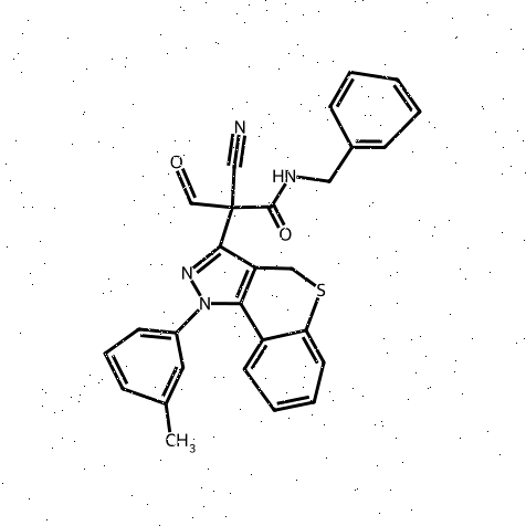 Cc1cccc(-n2nc(C(C#N)(C=O)C(=O)NCc3ccccc3)c3c2-c2ccccc2SC3)c1